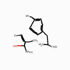 CC(C=O)Cc1ccc(C(C)C)cc1.CCC=C(C)C(O)CCCCC